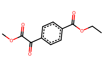 CCOC(=O)c1ccc(C(=O)C(=O)OC)cc1